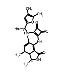 Cc1cc([C@H](Nc2c(NC3=C4C(=O)N[C@@H](C)C4C(C)C=C3F)c(=O)c2=O)C(C)(C)C)oc1C